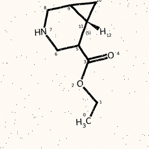 CCOC(=O)C1CNCC2C[C@@H]21